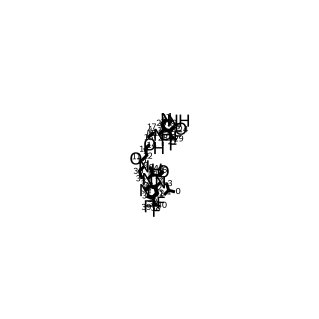 CC(C)CN1C(=O)[C@@H]2CN(C(=O)CCOC[C@H](C)Nc3cn[nH]c(=O)c3C(F)(F)F)CCN2c2ncc(C(F)(F)F)cc21